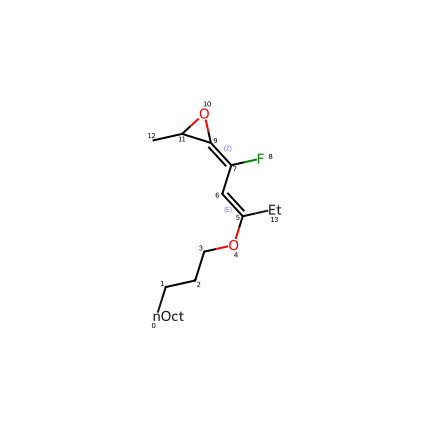 CCCCCCCCCCCO/C(=C/C(F)=C1/OC1C)CC